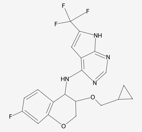 Fc1ccc2c(c1)OCC(OCC1CC1)C2Nc1ncnc2[nH]c(C(F)(F)F)cc12